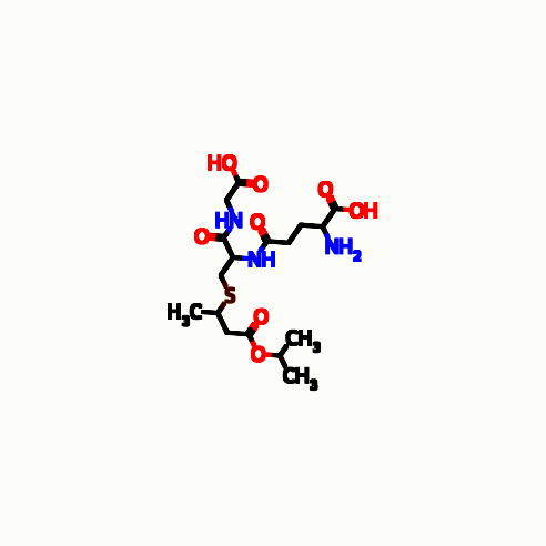 CC(C)OC(=O)CC(C)SCC(NC(=O)CCC(N)C(=O)O)C(=O)NCC(=O)O